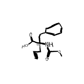 C=CC[C@@](Cc1ccccc1)(NC(=O)OC)C(=O)O